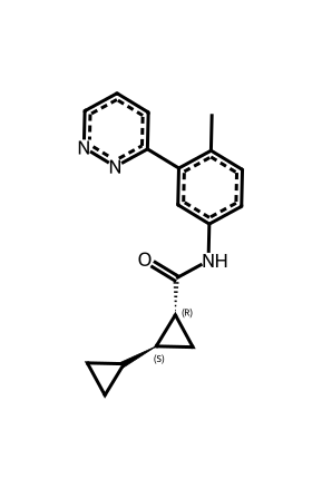 Cc1ccc(NC(=O)[C@@H]2C[C@H]2C2CC2)cc1-c1cccnn1